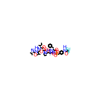 CCC(C)[C@@H]([C@@H](CC(=O)N1CCC[C@H]1[C@H](OC)[C@@H](C)C(=O)N[C@@H](Cc1ccccc1)C(=O)NS(=O)(=O)Cc1ccc(NC(=O)C(F)(F)F)cc1)OC)N(C)C(=O)[C@@H](NC(=O)[C@H](C(C)C)N(C)C)C(C)C